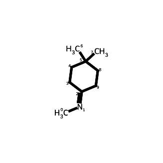 CN=C1CCC(C)(C)CC1